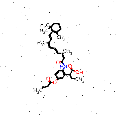 CCCC(=O)Oc1ccc(NC(=O)C=C(C)C=CC=C(C)C=CC2=C(C)CCCC2(C)C)c(C(CC)C(=O)O)c1